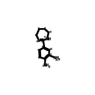 Nc1ccc(C2=NCCCCN2)cc1N